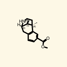 COC(=O)c1ccc2c(c1)[C@]1(C)CCN[C@H](C2)[C@H]1C